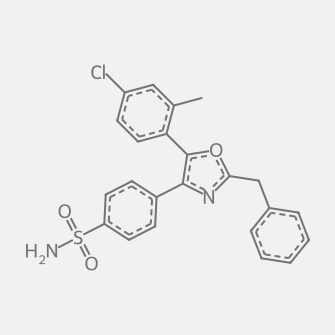 Cc1cc(Cl)ccc1-c1oc(Cc2ccccc2)nc1-c1ccc(S(N)(=O)=O)cc1